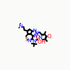 COc1c(C)cnc(Cn2nc3cc(CCN(C)C)c4c-3c(n2)C(N(C(=O)O)C(C)(C)C)=NSC4)c1C